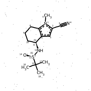 Cn1c(C#N)cc2c1CCC[C@@H]2N[S@+]([O-])C(C)(C)C